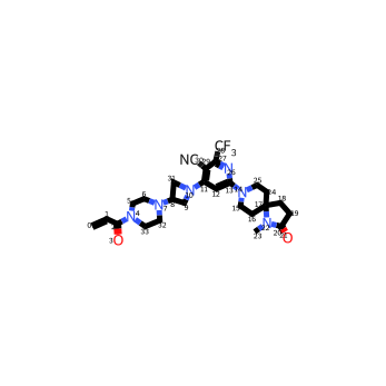 C=CC(=O)N1CCN(C2CN(c3cc(N4CCC5(CCC(=O)N5C)CC4)nc(C(F)(F)F)c3C#N)C2)CC1